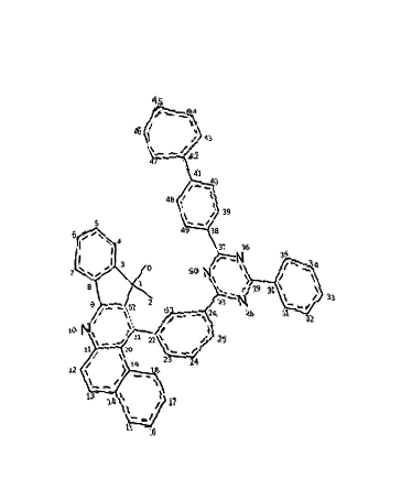 CC1(C)c2ccccc2-c2nc3ccc4ccccc4c3c(-c3cccc(-c4nc(-c5ccccc5)nc(-c5ccc(-c6ccccc6)cc5)n4)c3)c21